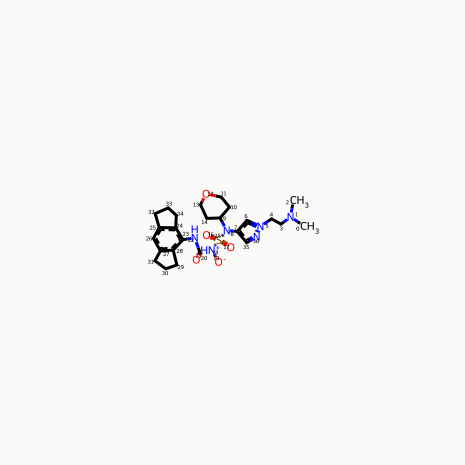 CN(C)CCn1cc(N(C2CCOCC2)S(=O)(=O)[NH+]([O-])C(=O)Nc2c3c(cc4c2CCC4)CCC3)cn1